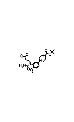 COC(=O)CCN(C(N)=O)c1cc(N2CCN(C(=O)OC(C)(C)C)CC2)ccc1OC